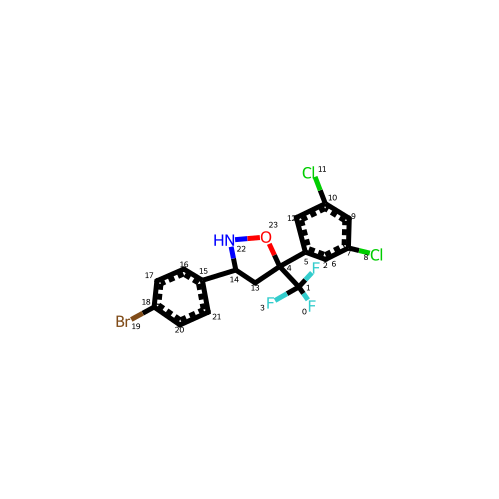 FC(F)(F)C1(c2cc(Cl)cc(Cl)c2)CC(c2ccc(Br)cc2)NO1